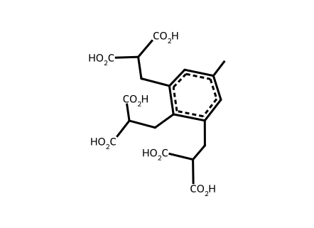 Cc1cc(CC(C(=O)O)C(=O)O)c(CC(C(=O)O)C(=O)O)c(CC(C(=O)O)C(=O)O)c1